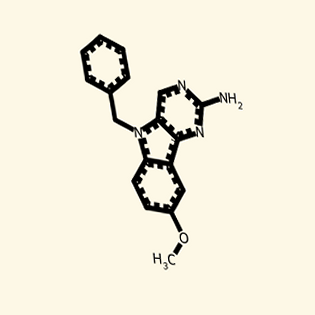 COc1ccc2c(c1)c1nc(N)ncc1n2Cc1ccccc1